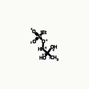 CCS(=O)(=O)ONC(C)(O)O